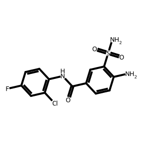 Nc1ccc(C(=O)Nc2ccc(F)cc2Cl)cc1S(N)(=O)=O